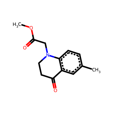 COC(=O)CN1CCC(=O)c2cc(C)ccc21